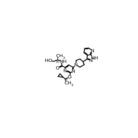 C[C@H](CO)NC(=O)c1cc(N2CCC(c3n[nH]c4ncccc34)CC2)nc(O[C@@H](C)C2CC2)n1